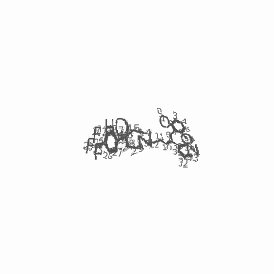 COc1cccc2c1CC(=CCCN1CCC(O)(c3ccc(C(F)(F)F)cc3)CC1)c1cccnc1O2